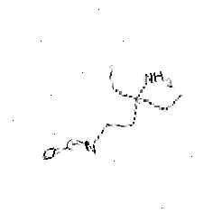 CCC(N)(CC)CCN=C=O